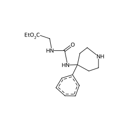 CCOC(=O)CNC(=O)NC1(c2ccccc2)CCNCC1